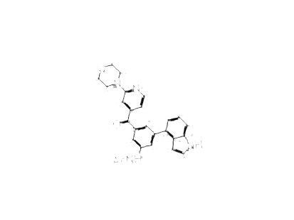 CC(=O)Nc1cc(C(=O)c2ccnc(N3CCOCC3)c2)cc(-c2cccc3[nH]ccc23)c1